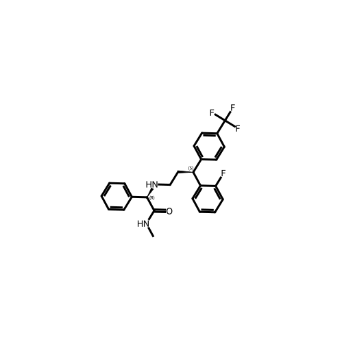 CNC(=O)[C@H](NCC[C@@H](c1ccc(C(F)(F)F)cc1)c1ccccc1F)c1ccccc1